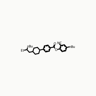 CCCCc1ccc(OC(=O)c2ccc(C3CCC(CC(CC)CCCC)CC3)cc2)c(C#N)c1